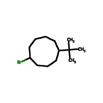 CC(C)(C)C1CCCCC(Br)CCC1